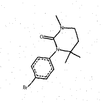 CN1CCC(C)(C)N(c2ccc(Br)cc2)C1=O